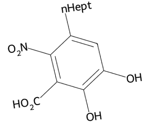 CCCCCCCc1cc(O)c(O)c(C(=O)O)c1[N+](=O)[O-]